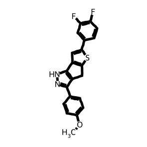 COc1ccc(-c2n[nH]c3c2Cc2sc(-c4ccc(F)c(F)c4)cc2-3)cc1